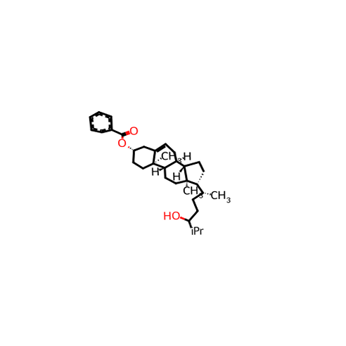 CC(C)C(O)CC[C@@H](C)[C@H]1CC[C@H]2[C@@H]3CC=C4C[C@@H](OC(=O)c5ccccc5)CC[C@]4(C)[C@H]3CC[C@]12C